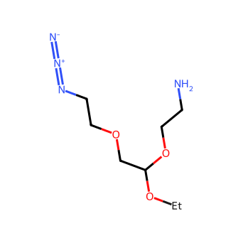 CCOC(COCCN=[N+]=[N-])OCCN